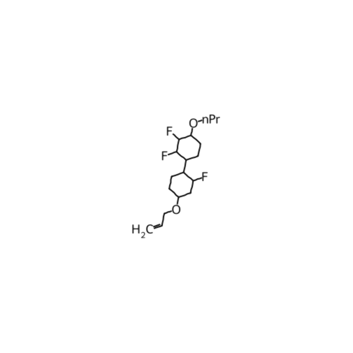 C=CCOC1CCC(C2CCC(OCCC)C(F)C2F)C(F)C1